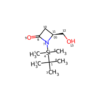 CC(C)(C)[Si](C)(C)N1C(=O)C[C@H]1CO